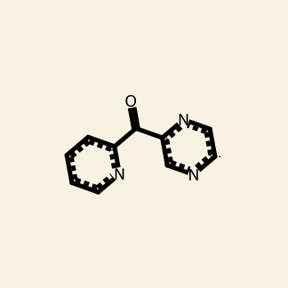 O=C(c1ccccn1)c1cn[c]cn1